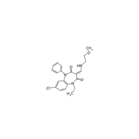 CCN1C(=O)/C(=C/NCCOC)C(=O)N(c2ccccc2)c2cc(Cl)ccc21